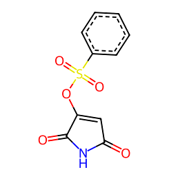 O=C1C=C(OS(=O)(=O)c2ccccc2)C(=O)N1